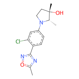 Cc1nc(-c2ccc(N3CC[C@](C)(O)[C@@H]3C)cc2Cl)no1